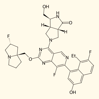 CCc1c(F)ccc2cc(O)cc(-c3ncc4c(N5C[C@@H]6[C@@H](CO)NC(=O)[C@@H]6C5)nc(OC[C@@]56CCCN5C[C@H](F)C6)nc4c3F)c12